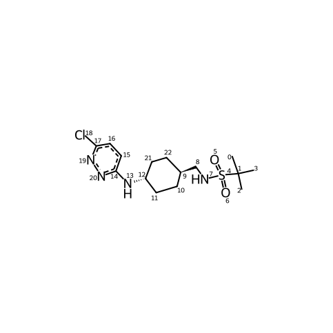 CC(C)(C)S(=O)(=O)NC[C@H]1CC[C@H](Nc2ccc(Cl)nn2)CC1